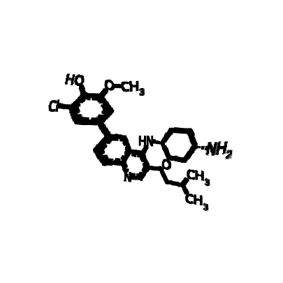 COc1cc(-c2ccc3ncc(C(=O)CC(C)C)c(N[C@H]4CC[C@H](N)CC4)c3c2)cc(Cl)c1O